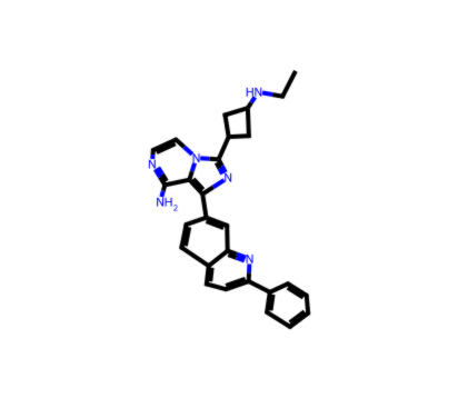 CCNC1CC(c2nc(-c3ccc4ccc(-c5ccccc5)nc4c3)c3c(N)nccn23)C1